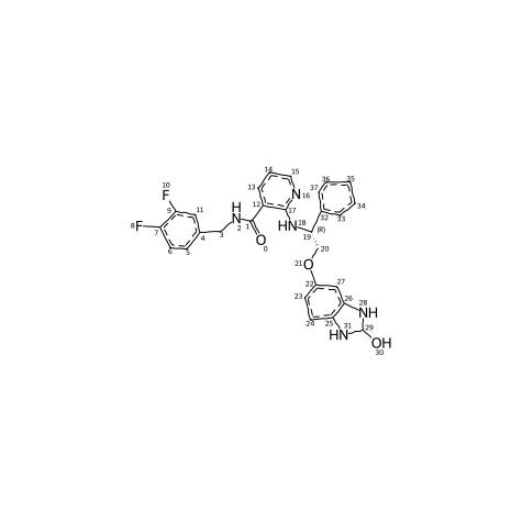 O=C(NCc1ccc(F)c(F)c1)c1cccnc1N[C@@H](COc1ccc2c(c1)NC(O)N2)c1ccccc1